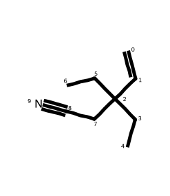 C=CC(CC)(CC)CC#N